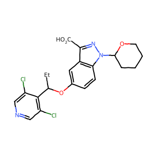 CCC(Oc1ccc2c(c1)c(C(=O)O)nn2C1CCCCO1)c1c(Cl)cncc1Cl